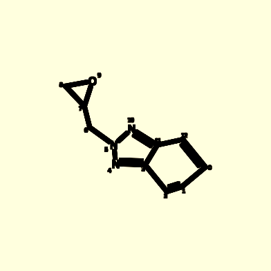 c1ccc2nn(CC3CO3)nc2c1